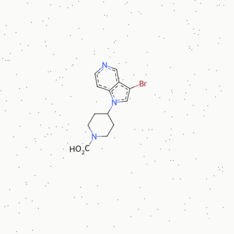 O=C(O)N1CCC(n2cc(Br)c3cnccc32)CC1